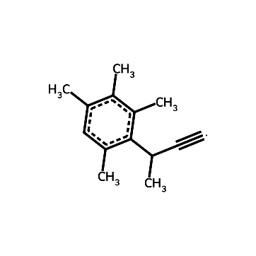 [C]#CC(C)c1c(C)cc(C)c(C)c1C